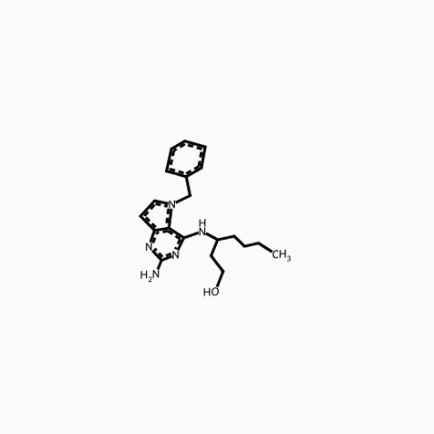 CCCCC(CCO)Nc1nc(N)nc2ccn(Cc3ccccc3)c12